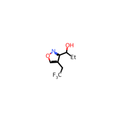 CCC(O)c1nocc1CC(F)(F)F